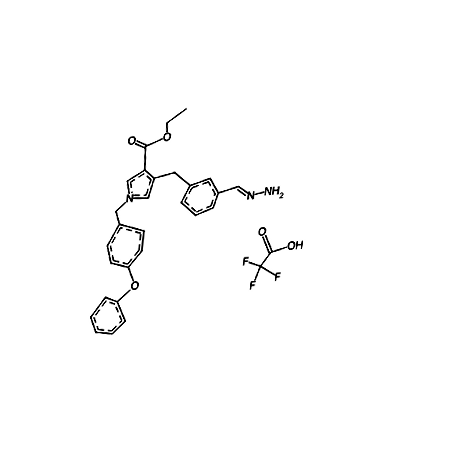 CCOC(=O)c1cn(Cc2ccc(Oc3ccccc3)cc2)cc1Cc1cccc(C=NN)c1.O=C(O)C(F)(F)F